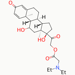 CCN(CC)CC(=O)OCC(=O)[C@@]1(O)CC[C@H]2[C@@H]3CCC4=CC(=O)C=C[C@]4(C)[C@H]3C(O)C[C@@]21C